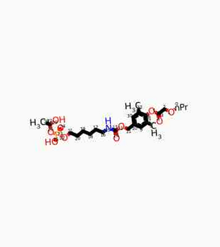 CCCOCC(=O)Oc1c(C)cc(COC(=O)NCCCCCCOP(=O)(O)OC(C)O)cc1C